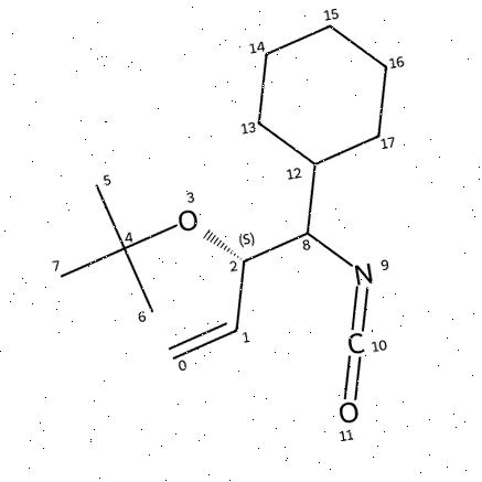 C=C[C@H](OC(C)(C)C)C(N=C=O)C1CCCCC1